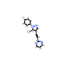 Fc1ccc(-n2ncc(C#Cc3ncccn3)c2Cl)cc1